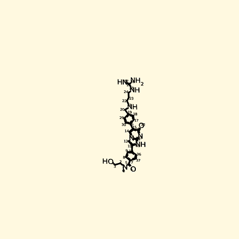 CN(CCO)C(=O)c1ccc(-c2cn3cc(-c4ccc(CNCCCNC(=N)N)cc4)c(=O)nc3[nH]2)cc1